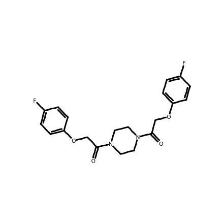 O=C(COc1ccc(F)cc1)N1CCN(C(=O)COc2ccc(F)cc2)CC1